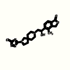 Cc1c([C@@H](O)CN2CCC3(CC2)CCN(c2nsc(Cl)n2)C3)ccc2c1COC2=O